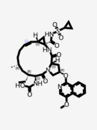 CC[C@@H]1C[C@H](C)CC/C=C\[C@@H]2C[C@@]2(C(=O)NS(=O)(=O)C2CC2)NC(=O)[C@@H]2C[C@@H](Oc3ncc(OC)c4ccccc34)CN2C(=O)[C@H]1NC(=O)O